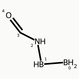 BBNC=O